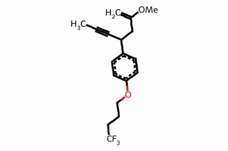 C=C(CC(C#CC)c1ccc(OCCCC(F)(F)F)cc1)OC